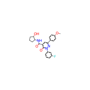 COc1ccc(-c2cc(C(=O)NC3CCCC3O)c(=O)n(-c3cccc(F)c3)n2)cc1